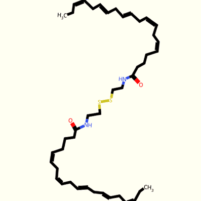 CC/C=C\CC=CCC=CC/C=C\C/C=C\CCCC(=O)NCCSSCCNC(=O)CCC/C=C\C/C=C\CC=CCC=CC/C=C\CC